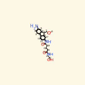 COCC1c2cc(N)ccc2-c2ccc(NC(=O)CCCC(=O)NCCO)cc21